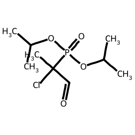 CC(C)OP(=O)(OC(C)C)C(C)(Cl)C=O